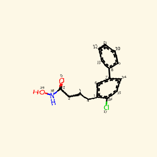 O=C(CCCc1cc(-c2ccccc2)ccc1Cl)NO